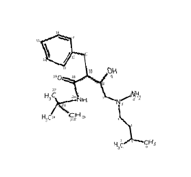 CC(C)CCN(N)CC(O)C(Cc1ccccc1)C(=O)NC(C)(C)C